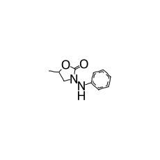 CC1CN(Nc2ccccc2)C(=O)O1